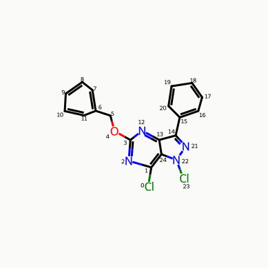 Clc1nc(OCc2ccccc2)nc2c(-c3ccccc3)nn(Cl)c12